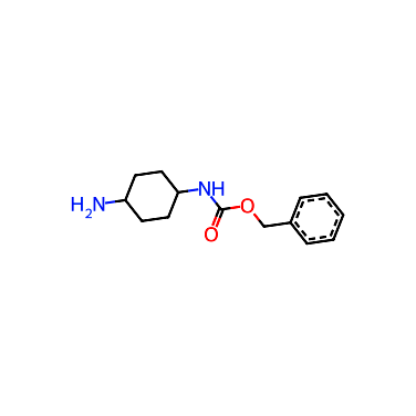 NC1CCC(NC(=O)OCc2ccccc2)CC1